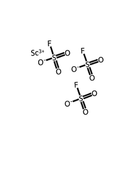 O=S(=O)([O-])F.O=S(=O)([O-])F.O=S(=O)([O-])F.[Sc+3]